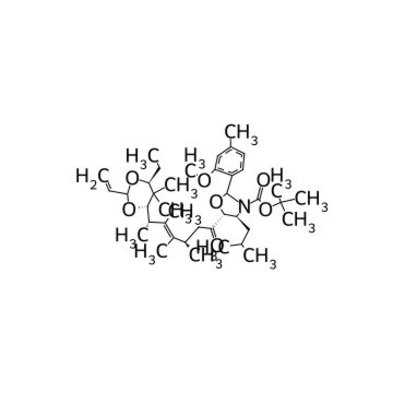 C=CC1O[C@@H](CC)C(C)(C)[C@H]([C@@H](C)/C(C)=C(\C)[C@H](C)CC(=O)[C@@H]2OC(c3ccc(C)cc3OC)N(C(=O)OC(C)(C)C)[C@H]2CC(C)C)O1